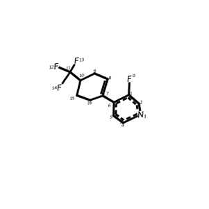 Fc1cn[c]cc1C1=CCC(C(F)(F)F)CC1